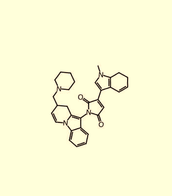 Cn1cc(C2=CC(=O)N(c3c4n(c5ccccc35)C=CC(CN3CCCCC3)C4)C2=O)c2c1CCC=C2